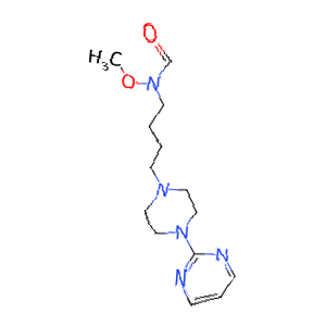 CON(C=O)CCCCN1CCN(c2ncccn2)CC1